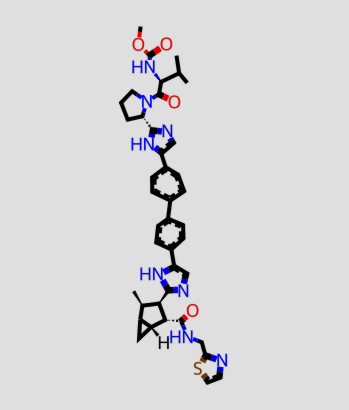 COC(=O)N[C@H](C(=O)N1CCC[C@H]1c1ncc(-c2ccc(-c3ccc(-c4cnc([C@H]5[C@H](C(=O)NCc6nccs6)[C@@H]6CC6[C@H]5C)[nH]4)cc3)cc2)[nH]1)C(C)C